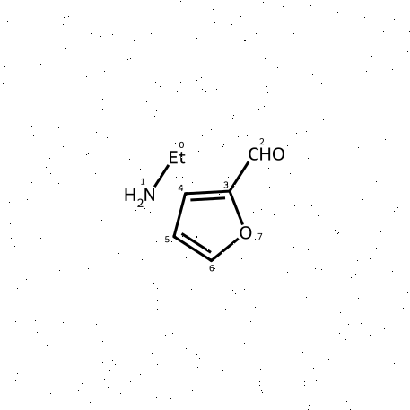 CCN.O=Cc1ccco1